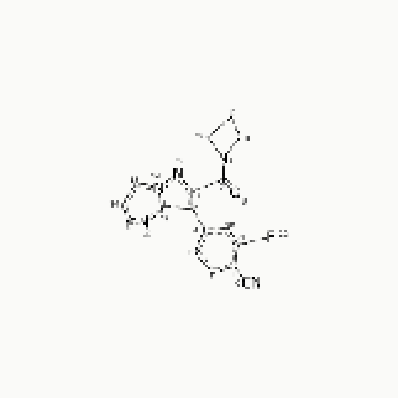 N#Cc1ccc(-c2c(C(=O)N3CCC3)nn3cccnc23)cc1F